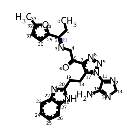 CC/C(=N\CC(=O)c1nnn(C2=NCN=C2N)c1CCc1nc2ccccc2[nH]1)c1ccc(C)o1